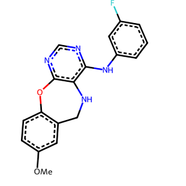 COc1ccc2c(c1)CNc1c(Nc3cccc(F)c3)ncnc1O2